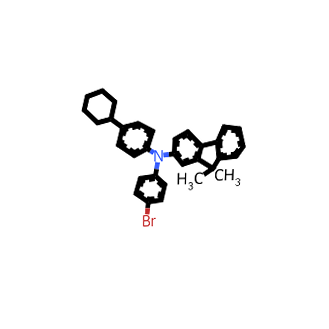 CC1(C)c2ccccc2-c2ccc(N(c3ccc(Br)cc3)c3ccc(C4CCCCC4)cc3)cc21